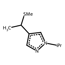 CSC(C)c1cnn(C(C)C)c1